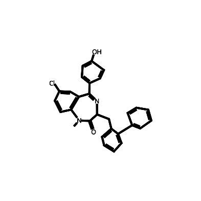 CN1C(=O)C(Cc2ccccc2-c2ccccc2)N=C(c2ccc(O)cc2)c2cc(Cl)ccc21